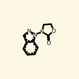 O=C1OCCN1n1ncc2ccccc21